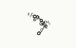 Cc1cc(-c2ccc3cc(C(F)(F)F)cc(Br)c3n2)ccc1N(C)C(=O)c1ccnn1CCOCc1ccccc1